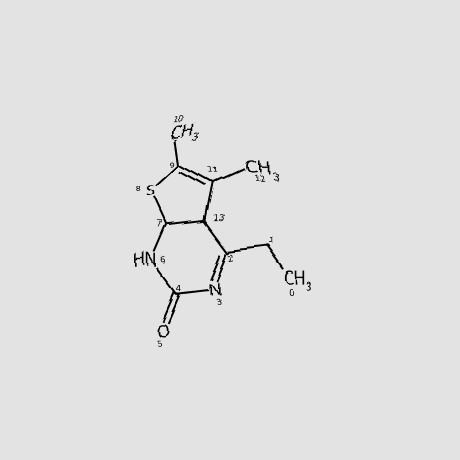 CCC1=NC(=O)NC2SC(C)=C(C)C12